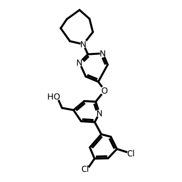 OCc1cc(Oc2cnc(N3CCCCCC3)nc2)nc(-c2cc(Cl)cc(Cl)c2)c1